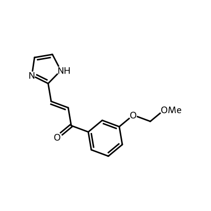 COCOc1cccc(C(=O)C=Cc2ncc[nH]2)c1